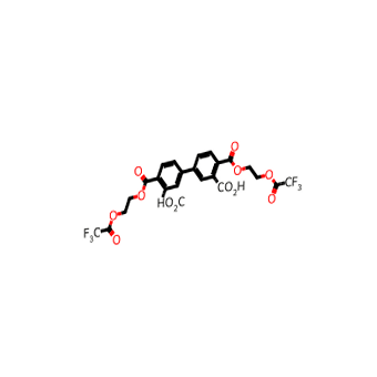 O=C(O)c1cc(-c2ccc(C(=O)OCCOC(=O)C(F)(F)F)c(C(=O)O)c2)ccc1C(=O)OCCOC(=O)C(F)(F)F